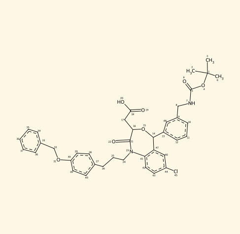 CC(C)(C)OC(=O)NCc1cccc(C2OC(CC(=O)O)C(=O)N(CCCc3ccc(OCc4ccccc4)cc3)c3ccc(Cl)cc32)c1